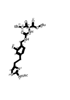 CC(=O)Nc1nc(CCc2ccc(CNC(=O)NN(C(=O)OC(C)(C)C)C(=O)OC(C)(C)C)c(F)c2)cs1